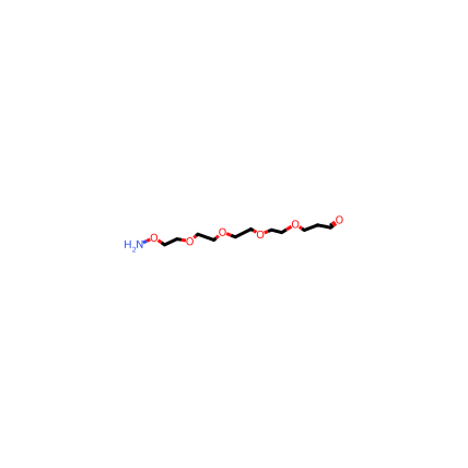 NOCCOCCOCCOCCOCCC=O